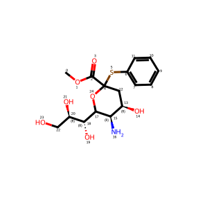 COC(=O)C1(Sc2ccccc2)C[C@@H](O)[C@@H](N)C([C@H](O)[C@H](O)CO)O1